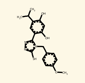 COc1ccc(Cn2c(S)nnc2-c2cc(C(C)C)c(O)cc2O)cc1